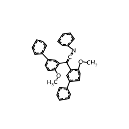 COc1ccc(-c2ccccc2)cc1C(=C=Nc1ccccc1)c1cc(-c2ccccc2)ccc1OC